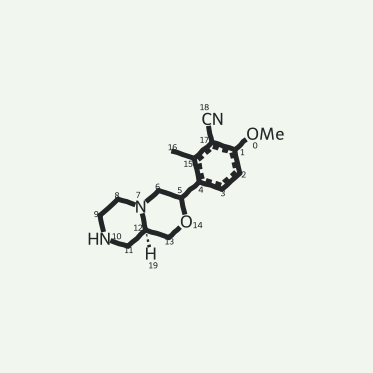 COc1ccc(C2CN3CCNC[C@@H]3CO2)c(C)c1C#N